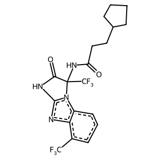 O=C(CCC1CCCC1)NC1(C(F)(F)F)C(=O)Nc2nc3c(C(F)(F)F)cccc3n21